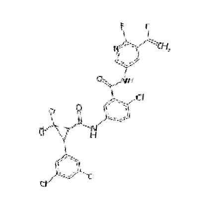 C=C(F)c1cc(NC(=O)c2cc(NC(=O)C3C(c4cc(Cl)cc(Cl)c4)C3(Cl)Cl)ccc2Cl)cnc1F